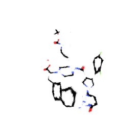 COC(=O)[C@H](Cc1ccc2ccccc2c1)N1CCN(C(=O)[C@@H]2CN(c3ccc(=O)n(C)n3)C[C@H]2c2ccc(F)cc2F)[C@@H](CCNC(=O)OC(C)(C)C)C1